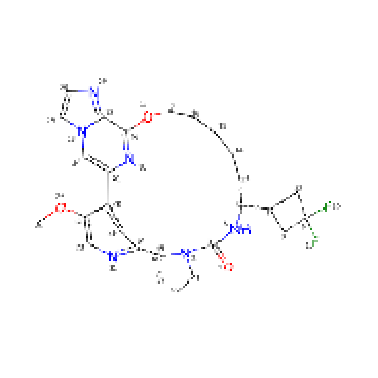 CCN1C(=O)NC(C2CC(F)(F)C2)CCCCCOc2nc(cn3ccnc23)-c2cc(ncc2OC)[C@H]1C